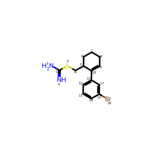 N=C(N)SCC1CCCC=C1c1cccc(Br)c1